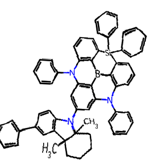 CC12CCCCC1(C)N(c1cc3c4c(c1)N(c1ccccc1)c1cccc5c1B4c1c(cccc1[Si]5(c1ccccc1)c1ccccc1)N3c1ccccc1)c1ccc(-c3ccccc3)cc12